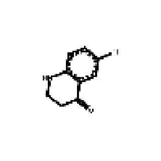 O=C1C[C]Nc2ccc(Cl)cc21